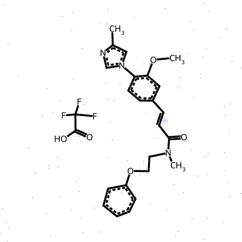 COc1cc(/C=C/C(=O)N(C)CCOc2ccccc2)ccc1-n1cnc(C)c1.O=C(O)C(F)(F)F